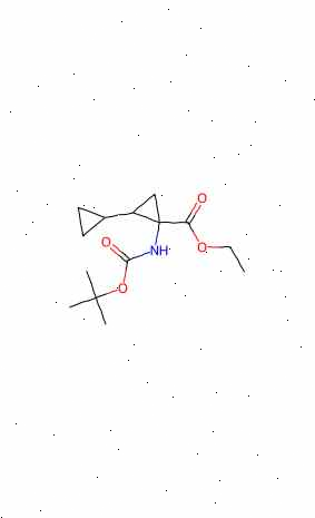 CCOC(=O)C1(NC(=O)OC(C)(C)C)CC1C1CC1